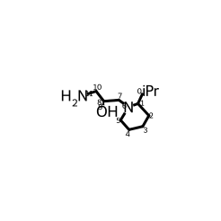 CC(C)C1CCCCN1C[C@@H](O)CN